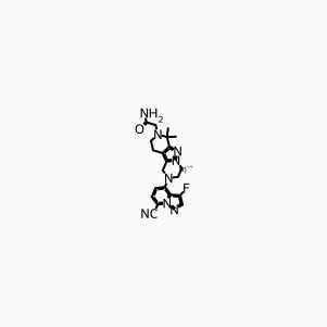 C[C@@H]1CN(c2ccc(C#N)n3ncc(F)c23)Cc2c3c(nn21)C(C)(C)N(CC(N)=O)CC3